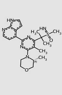 Cc1c(N2CCOC[C@H]2C)nc(-c2ccnc3[nH]ccc23)nc1C(C)(C)S(C)(=N)=O